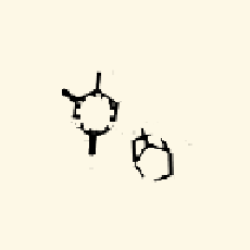 CC[C@]12COC(C1OC)[C@H](n1cc(C)c(=O)[nH]c1=O)O2